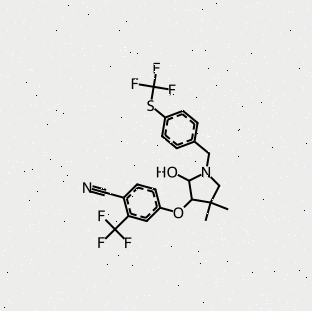 CC1(C)CN(Cc2ccc(SC(F)(F)F)cc2)C(O)C1Oc1ccc(C#N)c(C(F)(F)F)c1